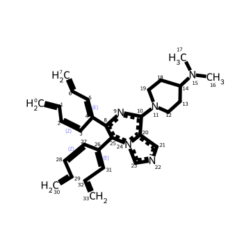 C=C/C=C\C(=C/C=C)c1nc(N2CCC(N(C)C)CC2)c2cncn2c1C(/C=C\C=C)=C/C=C